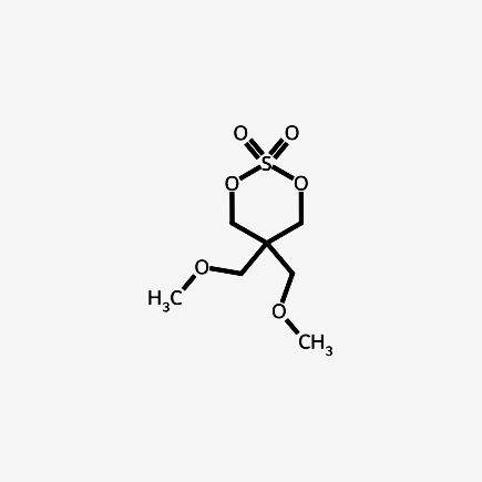 COCC1(COC)COS(=O)(=O)OC1